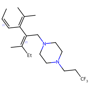 C/C=C\C(=C(C)C)/C(CN1CCN(CCC(F)(F)F)CC1)=C(\C)CC